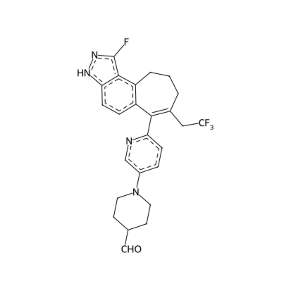 O=CC1CCN(c2ccc(C3=C(CC(F)(F)F)CCCc4c3ccc3[nH]nc(F)c43)nc2)CC1